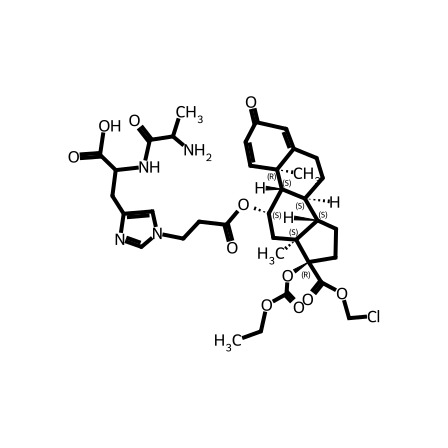 CCOC(=O)O[C@]1(C(=O)OCCl)CC[C@H]2[C@@H]3CCC4=CC(=O)C=C[C@]4(C)[C@H]3[C@@H](OC(=O)CCn3cnc(CC(NC(=O)C(C)N)C(=O)O)c3)C[C@@]21C